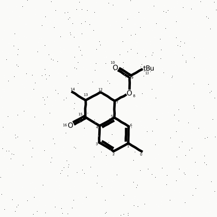 Cc1ccc2c(c1)C(OC(=O)C(C)(C)C)CC(C)C2=O